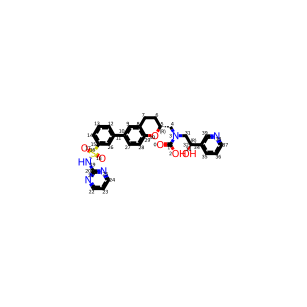 O=C(O)N(C[C@H]1CCc2cc(-c3cccc(S(=O)(=O)Nc4ncccn4)c3)ccc2O1)C[C@H](O)c1cccnc1